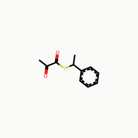 CC(=O)C(=O)SC(C)c1ccccc1